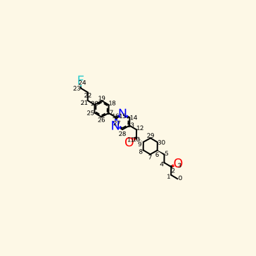 CCC(=O)CC[C@H]1CC[C@H](C(=O)Cc2cnc(-c3ccc(CCCF)cc3)nc2)CC1